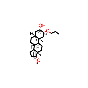 CCCO[C@H]1C[C@@]2(C)[C@@H](CC[C@@H]3[C@@H]2CC[C@]2(C)[C@@H](OC)CC[C@@H]32)C[C@@H]1O